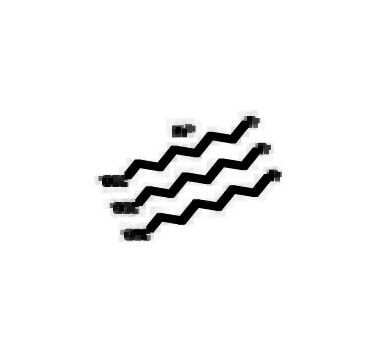 CC(C)CCCCCCC(=O)[O-].CC(C)CCCCCCC(=O)[O-].CC(C)CCCCCCC(=O)[O-].[Rh+3]